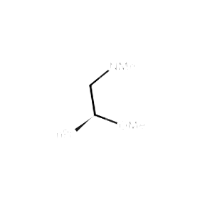 CCC[C@@H](CNC)OC